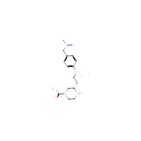 CN(C)Cc1ccc(OCC[C@@H]2CN(C(=O)O)CCN2)cc1.Cl.Cl